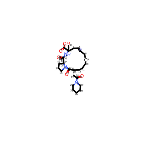 CC1(C(=O)O)C/C=C\CCCCC[C@H](CC(=O)N2CCCCC2)C(=O)N2CCC[C@H]2C(=O)N1